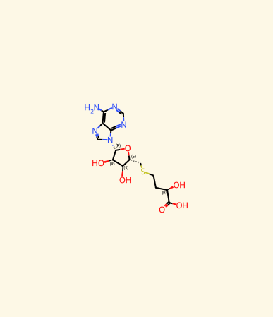 Nc1ncnc2c1ncn2[C@@H]1O[C@H](CSCC[C@@H](O)C(=O)O)[C@@H](O)[C@H]1O